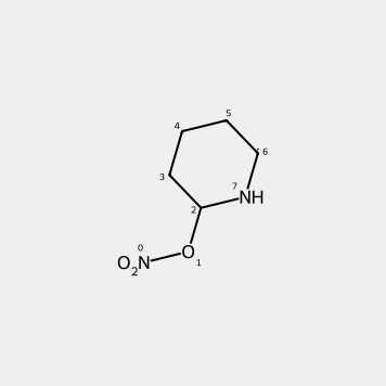 O=[N+]([O-])OC1CCC[CH]N1